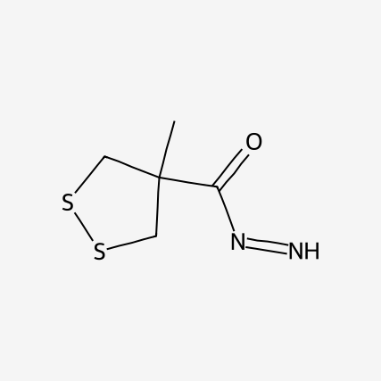 CC1(C(=O)N=N)CSSC1